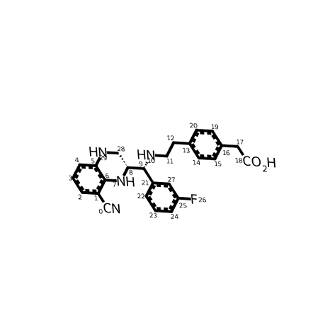 N#Cc1cccc2c1N[C@@H]([C@H](NCCc1ccc(CC(=O)O)cc1)c1cccc(F)c1)CN2